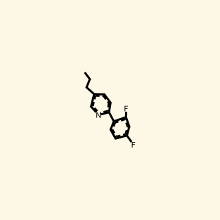 CCCc1ccc(-c2ccc(F)cc2F)nc1